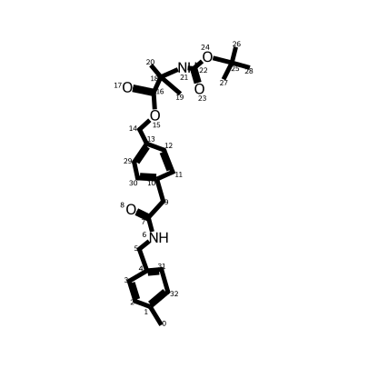 Cc1ccc(CNC(=O)Cc2ccc(COC(=O)C(C)(C)NC(=O)OC(C)(C)C)cc2)cc1